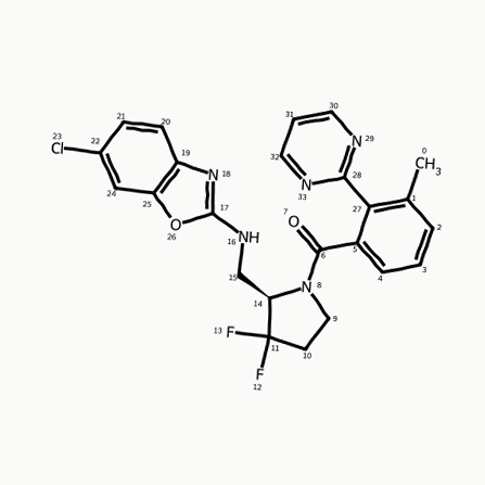 Cc1cccc(C(=O)N2CCC(F)(F)[C@H]2CNc2nc3ccc(Cl)cc3o2)c1-c1ncccn1